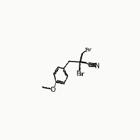 COc1ccc(CC(Br)(C#N)CBr)cc1